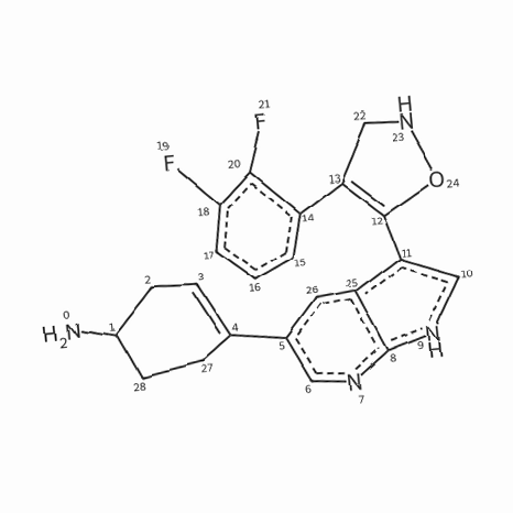 NC1CC=C(c2cnc3[nH]cc(C4=C(c5cccc(F)c5F)CNO4)c3c2)CC1